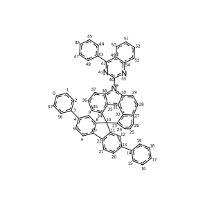 c1ccc(-c2ccc3c(c2)C2(c4cc(-c5ccccc5)ccc4-3)c3cccc4ccc5c(c34)c3c2cccc3n5-c2nc(-c3ccccc3)c3ccccc3n2)cc1